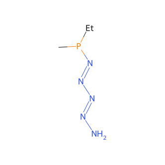 CCP(C)N=NN=NN